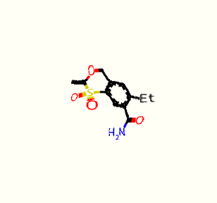 C=C1OCc2cc(CC)c(C(N)=O)cc2S1(=O)=O